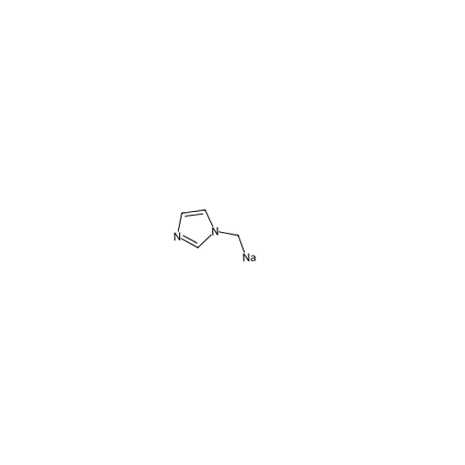 [Na][CH2]n1ccnc1